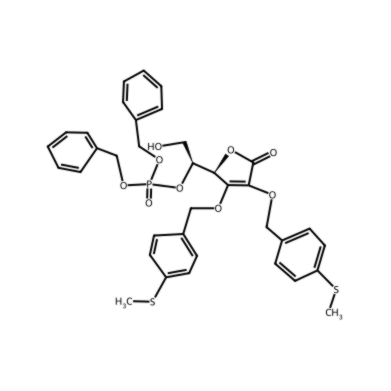 CSc1ccc(COC2=C(OCc3ccc(SC)cc3)[C@@H]([C@H](CO)OP(=O)(OCc3ccccc3)OCc3ccccc3)OC2=O)cc1